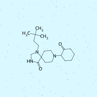 CC(C)(C)CCN1CNC(=O)C12CCN(C1CCCCC1=O)CC2